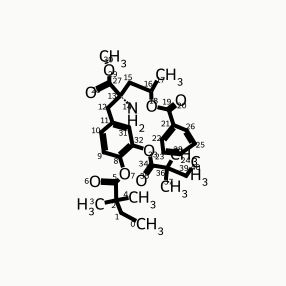 CCC(C)(C)C(=O)Oc1ccc(C[C@](N)(CC(C)OC(=O)c2ccccc2)C(=O)OC)cc1OC(=O)C(C)(C)CC